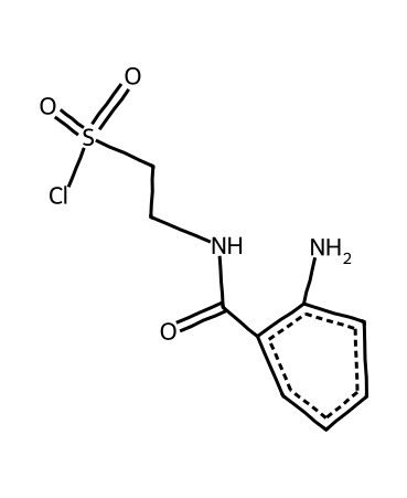 Nc1ccccc1C(=O)NCCS(=O)(=O)Cl